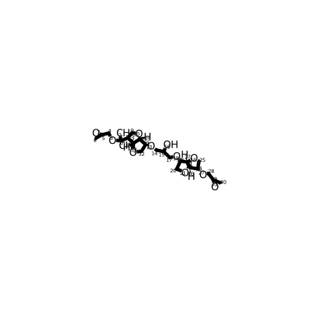 CC(C)(OCC1CO1)C1CO[C@@H]2[C@@H](OCC(O)CO[C@@H]3CO[C@H]4[C@@H]3OC[C@@H]4OCC3CO3)CO[C@H]12